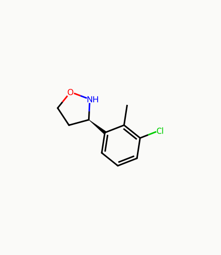 Cc1c(Cl)cccc1[C@H]1CCON1